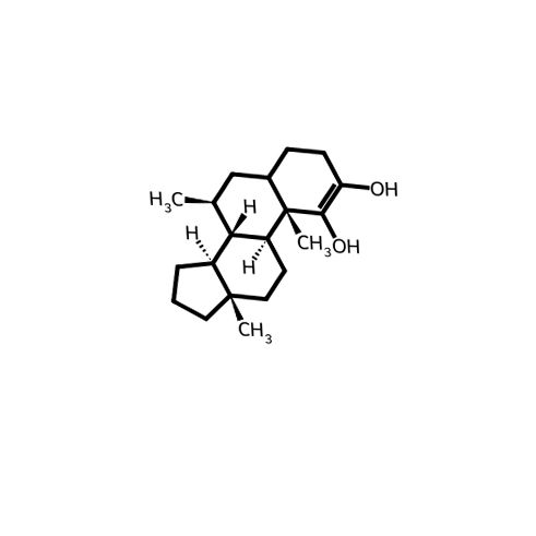 C[C@H]1CC2CCC(O)=C(O)[C@]2(C)[C@H]2CC[C@]3(C)CCC[C@H]3[C@H]12